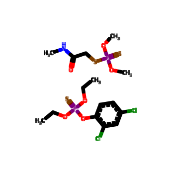 CCOP(=S)(OCC)Oc1ccc(Cl)cc1Cl.CNC(=O)CSP(=S)(OC)OC